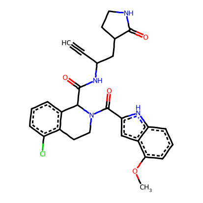 C#CC(CC1CCNC1=O)NC(=O)C1c2cccc(Cl)c2CCN1C(=O)c1cc2c(OC)cccc2[nH]1